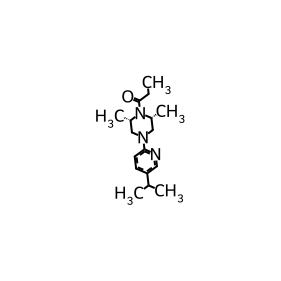 CCC(=O)N1[C@H](C)CN(c2ccc(C(C)C)cn2)C[C@@H]1C